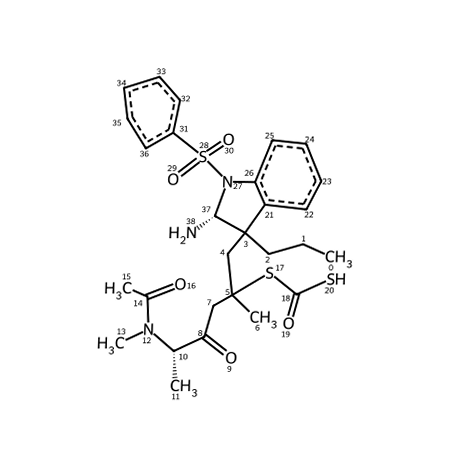 CCCC1(CC(C)(CC(=O)[C@H](C)N(C)C(C)=O)SC(=O)S)c2ccccc2N(S(=O)(=O)c2ccccc2)[C@H]1N